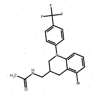 CC(=O)NCC1Cc2c(Br)cccc2N(c2ccc(C(F)(F)F)cc2)C1